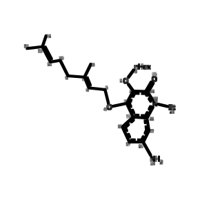 CCCCCCOc1c(OC/C=C(\C)CCC=C(C)C)c2ccc(N)cc2n(CC)c1=O